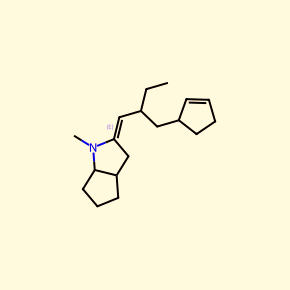 CCC(/C=C1\CC2CCCC2N1C)CC1C=CCC1